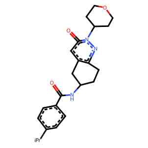 CC(C)c1ccc(C(=O)NC2CCc3nn(C4CCOCC4)c(=O)cc3C2)cc1